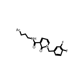 CC(=O)CCCNC(=O)c1cccn(Cc2ccc(F)c(F)c2)c1=O